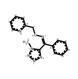 Cn1nnnc1C(=NOCc1ccc[c]n1)c1ccccc1